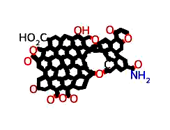 NC(=O)C1=CC2=C3Cc4occc(=O)c4-c4cc5c6c7c8cc5c(c5cc(oc9cc%10c8c8c%11c7c(c(O)c7cc%12c%13c%14c(c%15coc(=O)c%16cc%17c%18c%19c(c%20c(=O)oc(=O)c%21c%22c%23c(c9=CC%22)c%10c9c%10c%23c(c%20%21)c%19c%19c%17c(c%16%15)c%14c(c(c%13c7%11)c89)c%19%10)CC(=O)C=%18)=C(C(=O)O)C%12)CO6)=CC(=C1)C25)c43